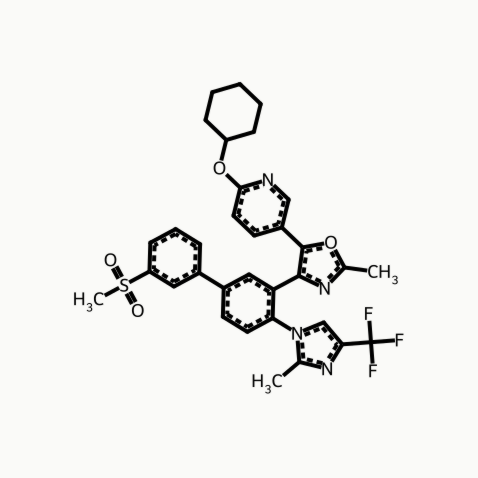 Cc1nc(-c2cc(-c3cccc(S(C)(=O)=O)c3)ccc2-n2cc(C(F)(F)F)nc2C)c(-c2ccc(OC3CCCCC3)nc2)o1